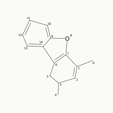 CC1=CC(C)Cc2c1oc1ccccc21